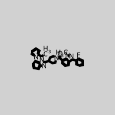 CC(c1ccccn1)n1c(C2CCN(C(=O)c3cccc4c(-c5ccccc5F)nn(C)c34)CC2)nc2ccccc21